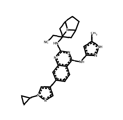 Cc1cc(Nc2nc(NC3CC4CCC(C3)N4CCC#N)nc3cc(-c4cnn(C5CC5)c4)ccc23)n[nH]1